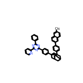 N#Cc1ccc2cc(-c3ccc(C45CC6CC(C4)CC(c4ccc(-c7nc(-c8ccccc8)nc(-c8ccccn8)n7)cc4)(C6)C5)cc3)ccc2c1